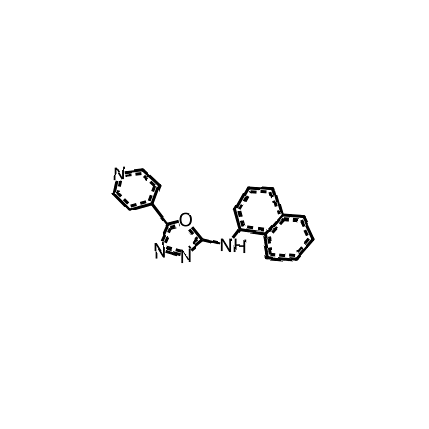 c1ccc2c(Nc3nnc(-c4ccncc4)o3)cccc2c1